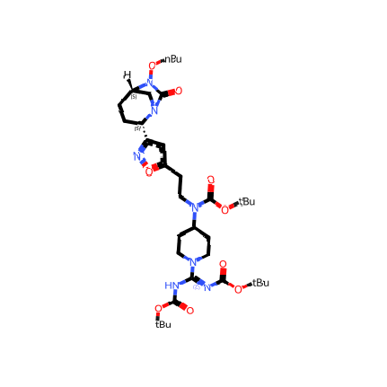 CCCCON1C(=O)N2C[C@@H]1CC[C@H]2c1cc(CCN(C(=O)OC(C)(C)C)C2CCN(/C(=N\C(=O)OC(C)(C)C)NC(=O)OC(C)(C)C)CC2)on1